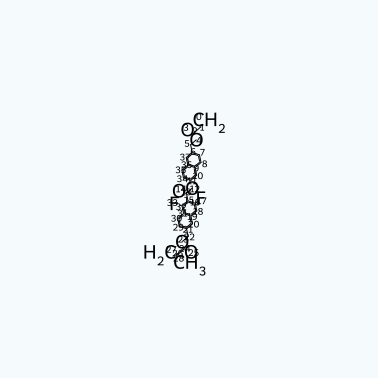 C=CC(=O)OCc1ccc2cc(OC(=O)c3c(F)cc4cc(COC(=O)C(=C)C)ccc4c3F)ccc2c1